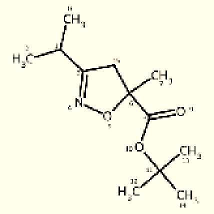 CC(C)C1=NOC(C)(C(=O)OC(C)(C)C)C1